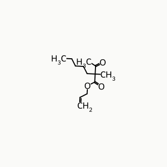 C=CCOC(=O)C(C)(CCCCC)C(C)=O